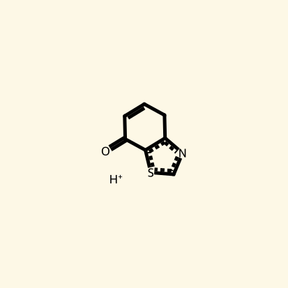 O=C1C=CCc2ncsc21.[H+]